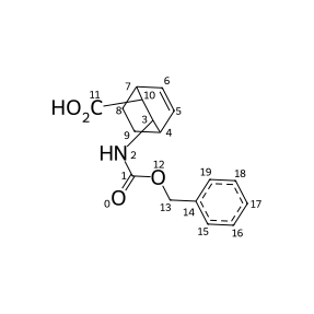 O=C(NC1C2C=CC(CC2)C1C(=O)O)OCc1ccccc1